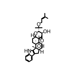 CC(C)=CCOC(C)(C)[C@H]1O[C@H]2CC[C@@]3(C)[C@@](O)(CC[C@H]4Cc5c([nH]c6ccccc56)[C@@]43C)[C@]23O[C@@H]3[C@@H]1O